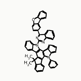 CC1(C)c2ccccc2-c2c1c1c3ccccc3n(-c3nc(-c4ccc5oc6ccccc6c5c4)c4ccccc4n3)c1c1c3ccccc3n(-c3ccccc3)c21